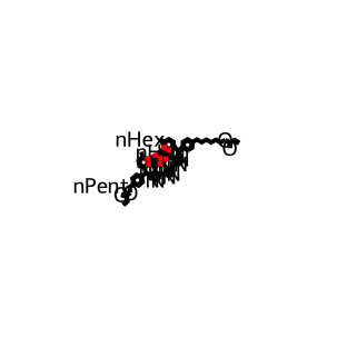 C=CC(=O)OCCCCCCc1ccc(N(c2ccc(CCCCCC)cc2)c2nnc(-c3nnc(-c4nnc(N(c5ccc(CCCCCC)cc5)c5ccc(C(CCCCC)OC(=O)C=C)cc5)n4-c4ccccc4)n3-c3ccccc3)n2-c2ccccc2)cc1